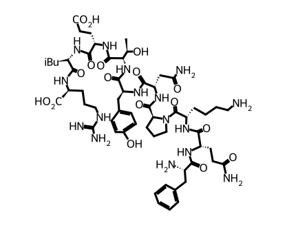 CC[C@H](C)[C@H](NC(=O)[C@H](CCC(=O)O)NC(=O)[C@@H](NC(=O)[C@H](Cc1ccc(O)cc1)NC(=O)[C@H](CC(N)=O)NC(=O)[C@@H]1CCCN1C(=O)[C@H](CCCCN)NC(=O)[C@H](CCC(N)=O)NC(=O)[C@@H](N)Cc1ccccc1)[C@@H](C)O)C(=O)N[C@@H](CCCNC(=N)N)C(=O)O